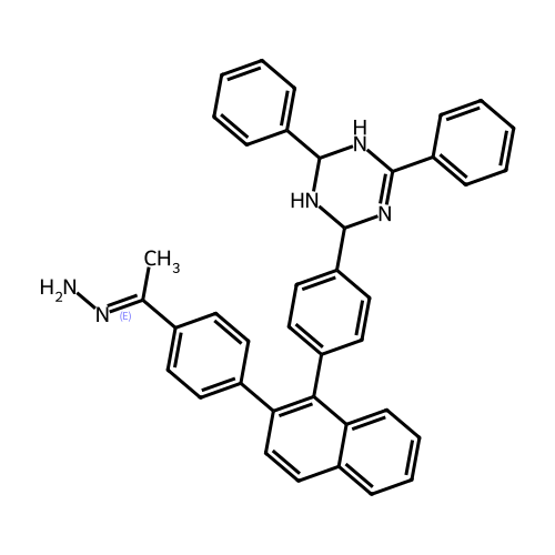 C/C(=N\N)c1ccc(-c2ccc3ccccc3c2-c2ccc(C3N=C(c4ccccc4)NC(c4ccccc4)N3)cc2)cc1